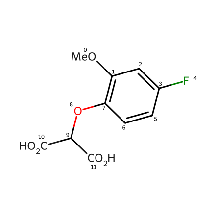 COc1cc(F)ccc1OC(C(=O)O)C(=O)O